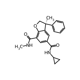 CNC(=O)c1cc(C(=O)NC2CC2)cc2c1OC[C@@]2(C)c1ccccc1